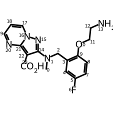 CN(Cc1cc(F)ccc1OCCN)c1nn2cccnc2c1C(=O)O